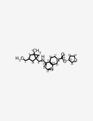 CCC1CC2(C)CC2(CNc2ncnc3c2CCN(C(=O)O[C@@H]2CCOC2)C3)C1